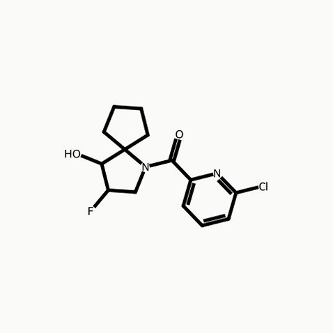 O=C(c1cccc(Cl)n1)N1CC(F)C(O)C12CCCC2